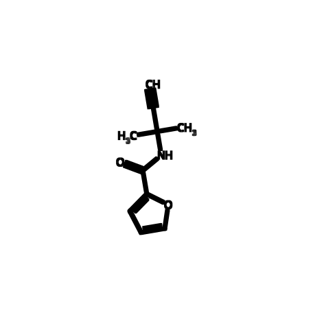 C#CC(C)(C)NC(=O)c1ccco1